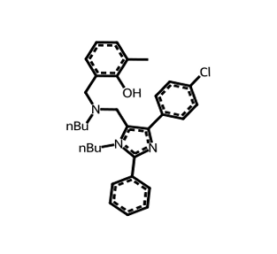 CCCCN(Cc1cccc(C)c1O)Cc1c(-c2ccc(Cl)cc2)nc(-c2ccccc2)n1CCCC